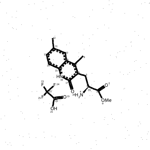 COC(=O)[C@@H](N)Cc1c(C)c2cc(C)ccc2[nH]c1=O.O=C(O)C(F)(F)F